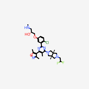 CNC[C@@H](O)COc1ccc(Cl)c(-c2nc(-c3c(C)noc3C)c(C)c(N3C[C@]4(C)CN(CC(F)F)C[C@]4(C)C3)n2)c1